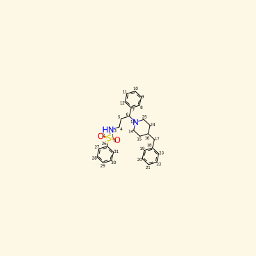 O=S(=O)(NCCC(c1ccccc1)N1CCC(Cc2ccccc2)CC1)c1ccccc1